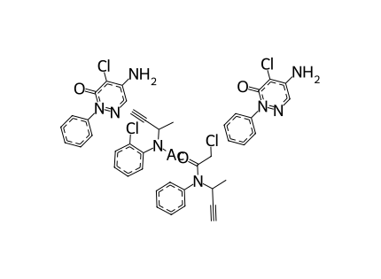 C#CC(C)N(C(=O)CCl)c1ccccc1.C#CC(C)N(C(C)=O)c1ccccc1Cl.Nc1cnn(-c2ccccc2)c(=O)c1Cl.Nc1cnn(-c2ccccc2)c(=O)c1Cl